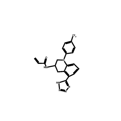 C=CC(=O)NC1Cc2c(-c3nnn[nH]3)cccc2N(c2ccc(C(F)(F)F)cc2)C1